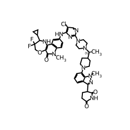 C[C@@H](C1CCN(c2cccc3c(C4CCC(=O)NC4=O)nn(C)c23)CC1)N1CCN(c2ncc(Cl)c(Nc3ccc4c(c3)c3c(c(=O)n4C)OCC(F)(F)C(C4CC4)N3)n2)CC1